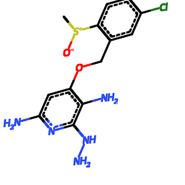 C[S+]([O-])c1ccc(Cl)cc1COc1cc(N)nc(NN)c1N